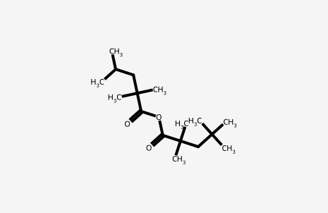 CC(C)CC(C)(C)C(=O)OC(=O)C(C)(C)CC(C)(C)C